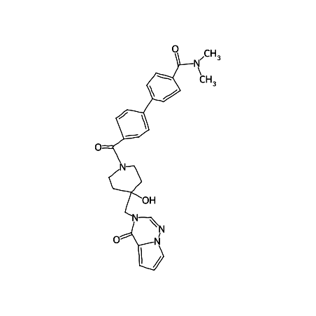 CN(C)C(=O)c1ccc(-c2ccc(C(=O)N3CCC(O)(Cn4cnn5cccc5c4=O)CC3)cc2)cc1